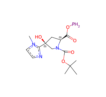 Cn1ccnc1[C@]1(O)C[C@@H](C(=O)OP)N(C(=O)OC(C)(C)C)C1